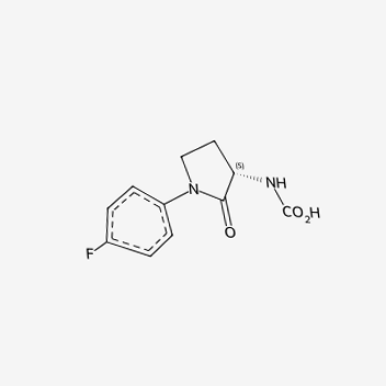 O=C(O)N[C@H]1CCN(c2ccc(F)cc2)C1=O